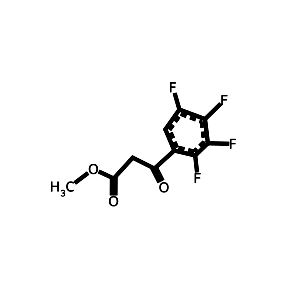 COC(=O)CC(=O)c1cc(F)c(F)c(F)c1F